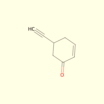 C#CC1CC=CC(=O)C1